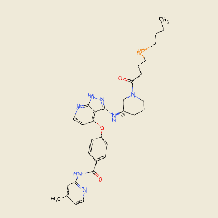 CCCCPCCCC(=O)N1CCC[C@@H](Nc2n[nH]c3nccc(Oc4ccc(C(=O)Nc5cc(C)ccn5)cc4)c23)C1